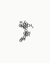 CCOc1c(C(C)=O)nc(-c2ccc(NC(=O)Nc3ccc(N4CCOCC4)c(F)c3)cc2)nc1N1CCOCC1